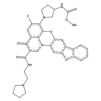 CC(C)(C)OC(=O)NC1CCN(c2c(F)cc3c(=O)c(C(=O)NCCN4CCCC4)cn4c3c2Oc2cc3c(cc2-4)oc2ccccc23)C1